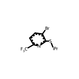 CC(C)Sc1nc(C(F)(F)F)ccc1Br